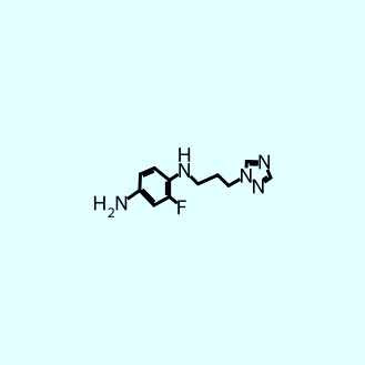 Nc1ccc(NCCCn2cncn2)c(F)c1